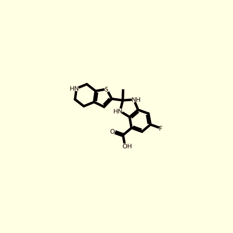 CC1(c2cc3c(s2)CNCC3)Nc2cc(F)cc(C(=O)O)c2N1